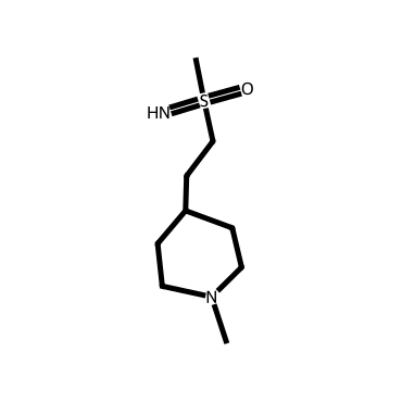 CN1CCC(CCS(C)(=N)=O)CC1